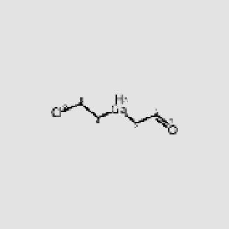 O=C[CH2][GaH][CH2]CCl